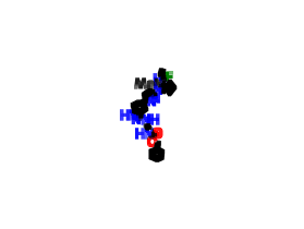 C=C/C(F)=C(\NC)C1(CNc2ccc(-c3ccc4[nH]nc(NCCNC(=O)OCc5ccccc5)c4c3)nn2)CCC1